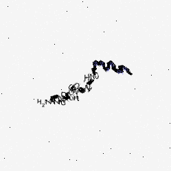 CC/C=C\C/C=C\C/C=C\C/C=C\C/C=C\C/C=C\CCC(=O)NCCN(C)CCNP(=O)(OC)OC[C@H]1O[C@@H](n2ccc(N)nc2=O)[C@](C)(F)[C@@H]1O